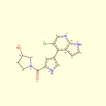 O=C(c1cc(-c2c(Cl)cnc3[nH]ccc23)c[nH]1)N1CCC(O)C1